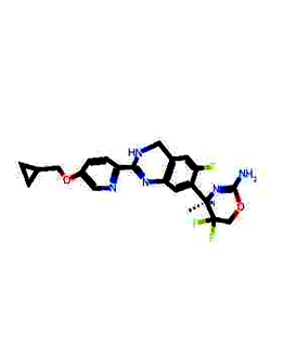 C[C@]1(c2cc3c(cc2F)CNC(c2ccc(OCC4CC4)cn2)=N3)N=C(N)OCC1(F)F